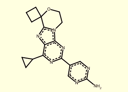 Nc1ncc(-c2nc(C3CC3)c3nc4n(c3n2)CCOC42CCC2)cn1